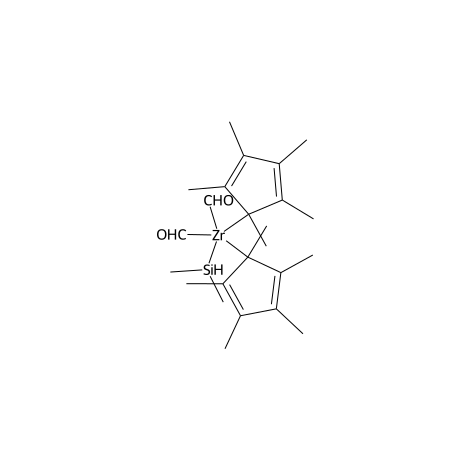 CC1=C(C)[C](C)([Zr]([CH]=O)([CH]=O)([SiH](C)C)[C]2(C)C(C)=C(C)C(C)=C2C)C(C)=C1C